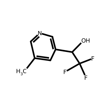 Cc1cncc(C(O)C(F)(F)F)c1